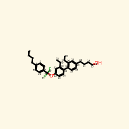 CCCCc1ccc(C(F)(F)Oc2ccc(-c3ccc(CCCCO)cc3CC)c(CC)c2)cc1